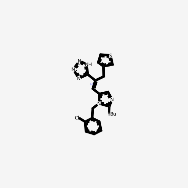 CCCCc1ncc(/C=C(\Cc2ccsc2)c2nnn[nH]2)n1Cc1ccccc1Cl